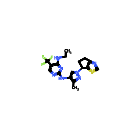 CCNc1nc(Nc2cn([C@H]3CCc4ncsc43)nc2C)ncc1C(F)(F)F